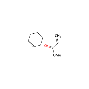 C1=CCCCC1.C=CC(=O)OC